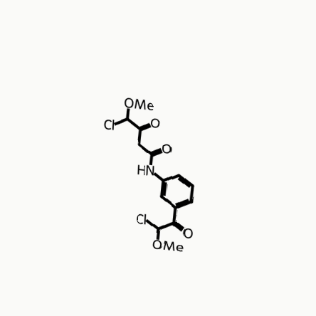 COC(Cl)C(=O)CC(=O)Nc1cccc(C(=O)C(Cl)OC)c1